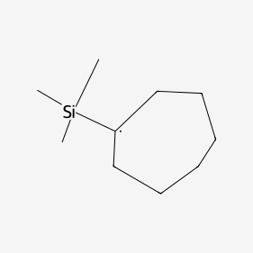 C[Si](C)(C)[C]1CCCCCC1